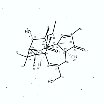 CCCC(=O)O[C@@]12[C@H](O)[C@@H](C)[C@@]3(C)[C@@H](C=C(CO)C[C@]4(O)C(=O)C(C)=C[C@]34C)[C@@H]1C2(C)C